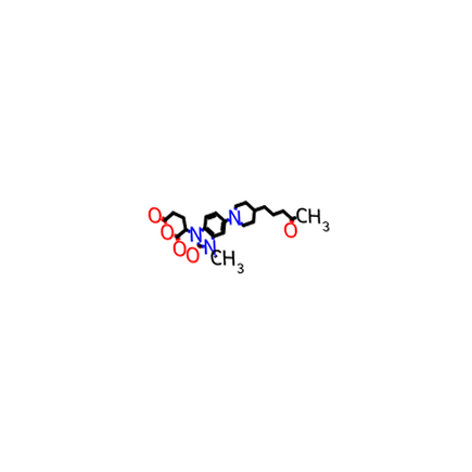 CC(=O)CCCC1CCN(c2ccc3c(c2)n(C)c(=O)n3C2CCC(=O)OC2=O)CC1